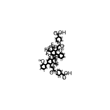 COc1ccccc1-c1cc(Sc2cc(-c3ccccc3OC)c(/C=C/C(=O)N3CCC(C(=O)O)CC3)c(C(F)(F)F)c2C(F)(F)F)c(C(F)(F)F)c(C(F)(F)F)c1/C=C/C(=O)N1CCC(C(=O)O)CC1